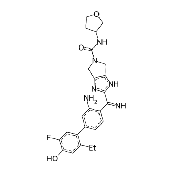 CCc1cc(O)c(F)cc1-c1ccc(C(=N)c2nc3c([nH]2)CN(C(=O)NC2CCOC2)C3)c(N)c1